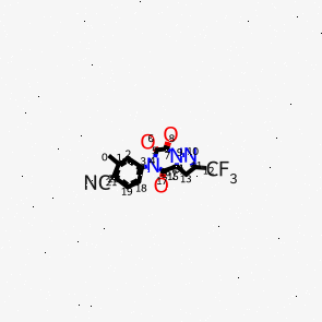 Cc1cc(N2C(=O)C(=O)N3N=C(C(F)(F)F)C[C@@]3(C)C2=O)ccc1C#N